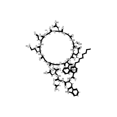 CCCCCCCCc1ccc(C(=O)N[C@@H](Cc2c[nH]c3ccccc23)C(=O)N[C@H](CC(N)=O)C(=O)N[C@@H](CC(=O)O)C(=O)N[C@@H]2C(=O)NCC(=O)N[C@@H](CCCN)C(=O)N[C@@H](CC=O)C(=O)N[C@H](C)C(=O)N[C@@H](CC(=O)O)C(=O)NCC(=O)N[C@H](CO)C(=O)N[C@@H]([C@H](C)CC(=O)O)C(=O)NC(C(=O)c3ccccc3N)C(=O)O[C@@H]2C)cc1